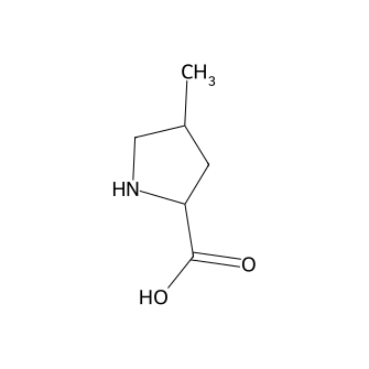 CC1CNC(C(=O)O)C1